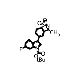 CC1=NS(=O)(=O)c2ccc(-c3cn(C(=O)OC(C)(C)C)c4cc(F)ccc34)cc21